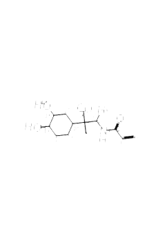 C=CC(=O)NC(C(=O)O)C(C)(C)C1CCC(O)C(O)C1